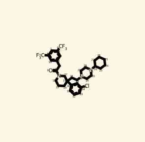 O=C(Cc1cc(C(F)(F)F)cc(C(F)(F)F)c1)N1CCCC(CCN2CCN(C3CCCCC3)CC2)(c2cccc(Cl)c2)C1